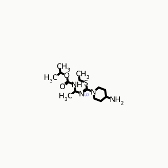 CCS/C(=N\C(C)NC(=O)OC(C)C)N1CCC(N)CC1